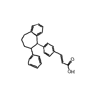 O=C(O)C=Cc1ccc(C2c3ccccc3CCCC2c2ccccc2)cc1